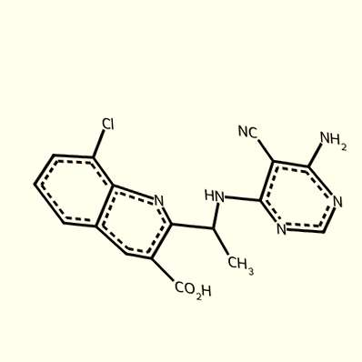 CC(Nc1ncnc(N)c1C#N)c1nc2c(Cl)cccc2cc1C(=O)O